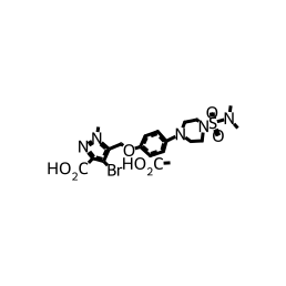 CC(=O)O.CN(C)S(=O)(=O)N1CCN(c2ccc(OCc3c(Br)c(C(=O)O)nn3C)cc2)CC1